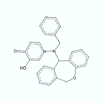 O=c1ccn(N(Cc2ccccc2)C2c3ccccc3COc3ccccc32)cc1O